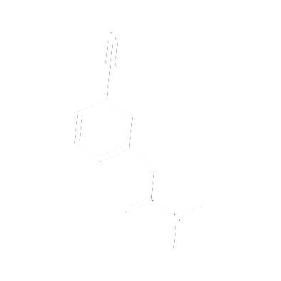 CN(C)C(=O)Sc1cccc(C#N)c1